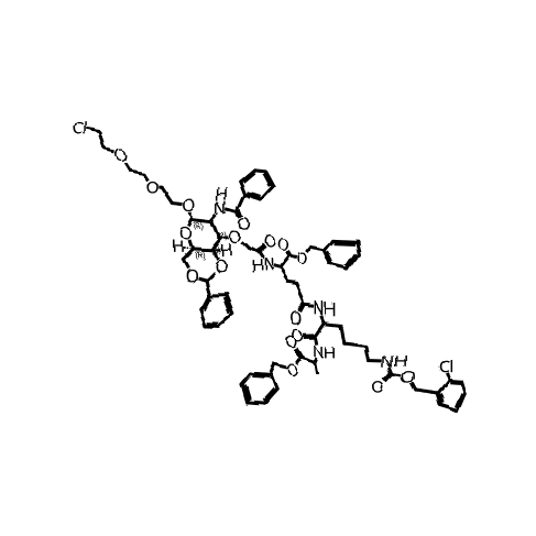 CC(NC(=O)C(CCCCNC(=O)OCc1ccccc1Cl)NC(=O)CCC(NC(=O)CO[C@@H]1C(NC(=O)c2ccccc2)[C@H](OCCOCCOCCCl)O[C@@H]2COC(c3ccccc3)O[C@@H]12)C(=O)OCc1ccccc1)C(=O)OCc1ccccc1